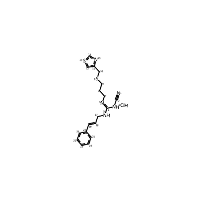 Cl.N#CNC(=NCCCSCc1cscn1)NCC=Cc1ccccc1